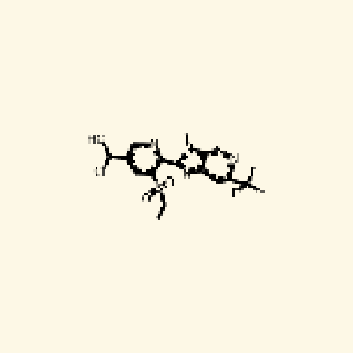 CCS(=O)(=O)c1cc(C(O)Cl)cnc1-c1nc2cc(C(F)(F)F)nnc2n1C